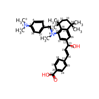 CN(C)c1ccc(CN(C)c2cc(C(O)/C=C/c3ccc(C(=O)O)cc3)cc3c2C(C)(C)CCC3(C)C)cc1